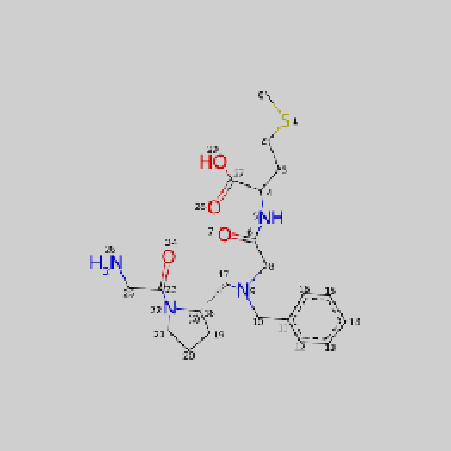 CSCCC(NC(=O)CN(Cc1ccccc1)C[C@@H]1CCCN1C(=O)CN)C(=O)O